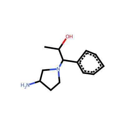 CC(O)C(c1ccccc1)N1CCC(N)C1